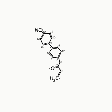 C=CC(=O)Cc1ccc(-c2ccc(C#N)cc2)cc1